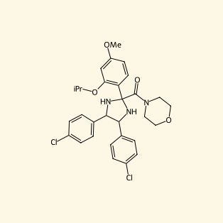 COc1ccc(C2(C(=O)N3CCOCC3)NC(c3ccc(Cl)cc3)C(c3ccc(Cl)cc3)N2)c(OC(C)C)c1